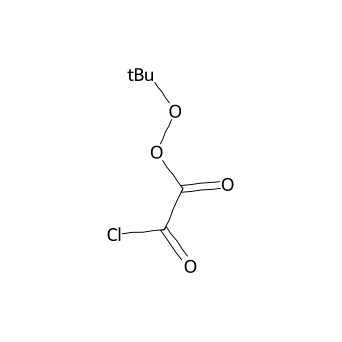 CC(C)(C)OOC(=O)C(=O)Cl